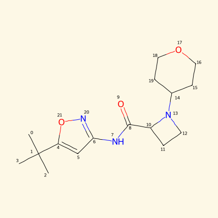 CC(C)(C)c1cc(NC(=O)C2CCN2C2CCOCC2)no1